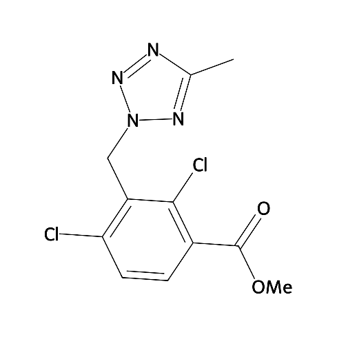 COC(=O)c1ccc(Cl)c(Cn2nnc(C)n2)c1Cl